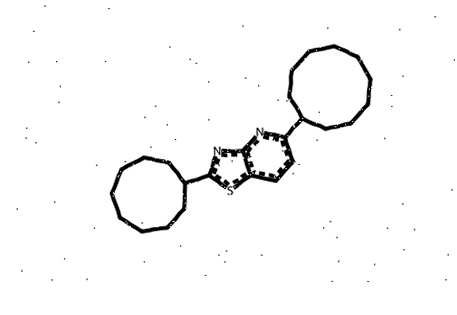 c1cc2sc(C3CCCCCCCC3)nc2nc1C1CCCCCCCCC1